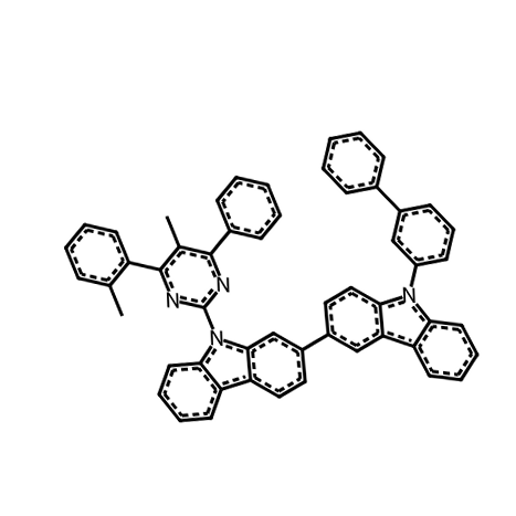 Cc1ccccc1-c1nc(-n2c3ccccc3c3ccc(-c4ccc5c(c4)c4ccccc4n5-c4cccc(-c5ccccc5)c4)cc32)nc(-c2ccccc2)c1C